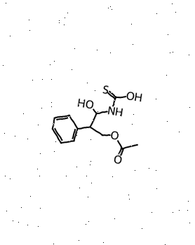 CC(=O)OCC(c1ccccc1)C(O)NC(O)=S